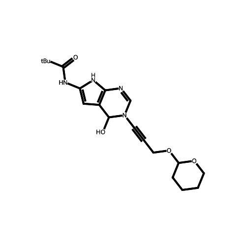 CC(C)(C)C(=O)Nc1cc2c([nH]1)N=CN(C#CCOC1CCCCO1)C2O